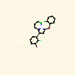 Cc1c(C(=O)O)ccc(-c2c(F)c(C(=O)c3c(Cl)cccc3Cl)n3ccccc23)c1F